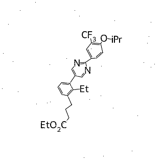 CCOC(=O)CCCc1cccc(-c2cnc(-c3ccc(OC(C)C)c(C(F)(F)F)c3)nc2)c1CC